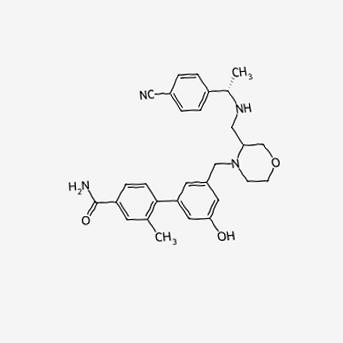 Cc1cc(C(N)=O)ccc1-c1cc(O)cc(CN2CCOCC2CN[C@@H](C)c2ccc(C#N)cc2)c1